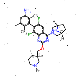 CCN1CC[C@H](C)[C@](C)(COc2nc(N3C[C@H]4CC[C@@H](C3)N4)c3cc(F)c(-c4c(C#N)c(N)cc(C)c4C(F)(F)F)c(F)c3n2)C1